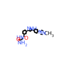 CN1CCN(c2ccc(-c3cc(-c4cccc(C(=O)NCC(N)=O)c4)n[nH]3)cc2)CC1